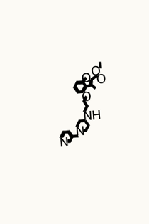 CCOC(=O)c1oc2cccc(OCCCNC3CCN(Cc4cccnc4)CC3)c2c1C